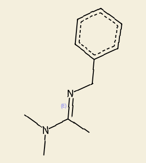 C/C(=N\Cc1ccccc1)N(C)C